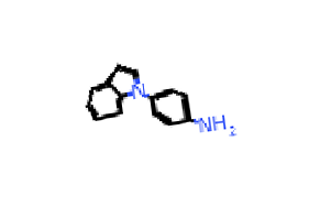 Nc1ccc(-n2ccc3ccccc32)cc1